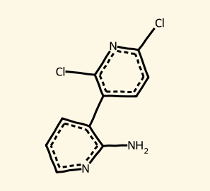 Nc1ncccc1-c1ccc(Cl)nc1Cl